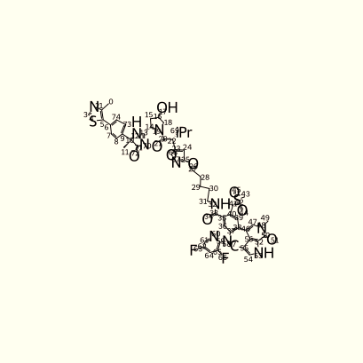 Cc1ncsc1-c1ccc([C@]2(C)NC([C@@H]3C[C@@H](O)CN3C(=O)[C@@H](c3cc(OCCCCCNC(=O)c4cc5c(cc4CS(C)(=O)=O)-c4cn(C)c(=O)c6[nH]cc(c46)CN5c4ncc(F)cc4F)no3)C(C)C)=NC2=O)cc1